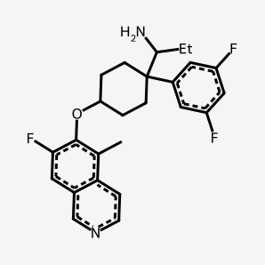 CCC(N)C1(c2cc(F)cc(F)c2)CCC(Oc2c(F)cc3cnccc3c2C)CC1